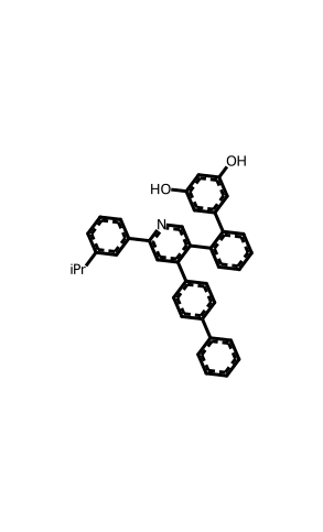 CC(C)c1cccc(-c2cc(-c3ccc(-c4ccccc4)cc3)c(-c3ccccc3-c3cc(O)cc(O)c3)cn2)c1